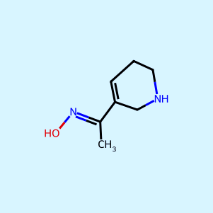 C/C(=N\O)C1=CCCNC1